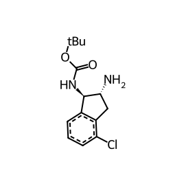 CC(C)(C)OC(=O)N[C@@H]1c2cccc(Cl)c2C[C@H]1N